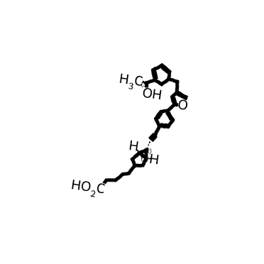 C[C@H](O)C1=CC=CC(Cc2coc(-c3ccc(C#C[C@@H]4[C@H]5CC(CCCCC(=O)O)C[C@@H]45)cc3)c2)C1